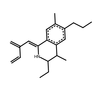 C=CC(=C)/C=C1\NC(CC)C(C)c2cc(CCC)c(C)cc21